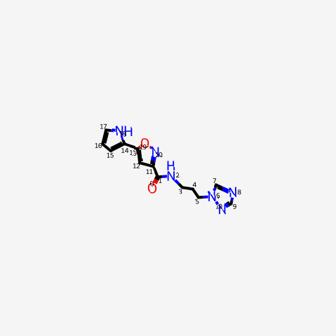 O=C(NCCCn1cncn1)c1cc(-c2ccc[nH]2)on1